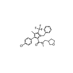 Cc1c(-c2ccc(Cl)cc2)c(C(=O)N(C)CC2CCOC2)n(Cc2ccccc2)c1C(F)(F)F